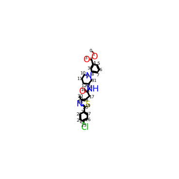 COC(=O)c1cccc(N2CCCC(NC(=O)Cc3sc(-c4ccc(Cl)cc4)nc3C)C2)c1